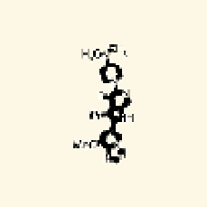 COc1cc(-c2[nH]c3cnc(N4CCC(N(C)C)CC4)c(F)c3c2C(C)C)cn2ncnc12